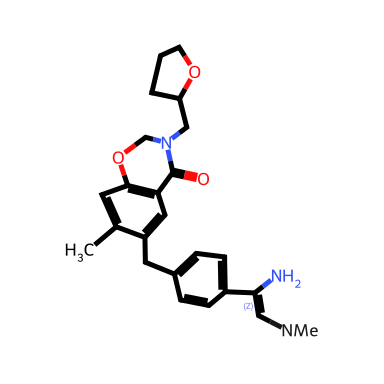 CN/C=C(\N)c1ccc(Cc2cc3c(cc2C)OCN(CC2CCCO2)C3=O)cc1